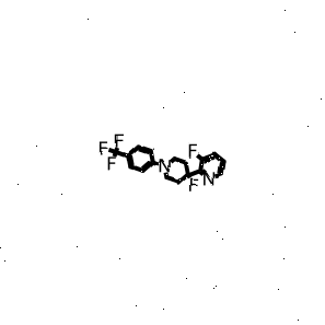 Fc1cccnc1C1(F)CCN(c2ccc(C(F)(F)F)cc2)CC1